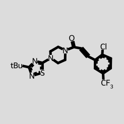 CC(C)(C)c1nsc(N2CCN(C(=O)C#Cc3cc(C(F)(F)F)ccc3Cl)CC2)n1